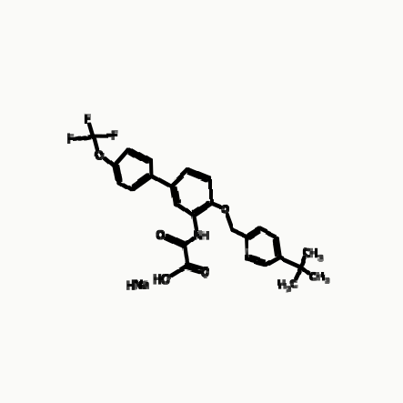 CC(C)(C)c1ccc(COc2ccc(-c3ccc(OC(F)(F)F)cc3)cc2NC(=O)C(=O)O)cc1.[NaH]